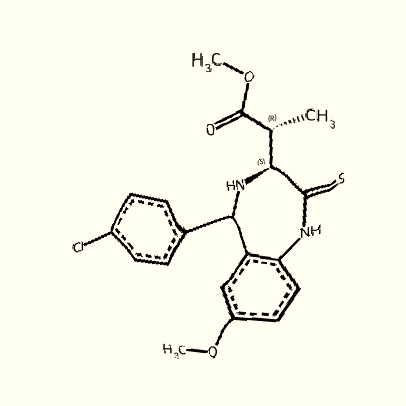 COC(=O)[C@H](C)[C@@H]1NC(c2ccc(Cl)cc2)c2cc(OC)ccc2NC1=S